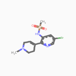 CN1CC=C(c2ncc(Br)cc2NS(C)(=O)=O)CC1